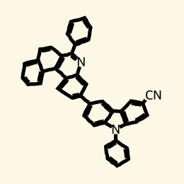 N#Cc1ccc2c(c1)c1cc(-c3ccc4c(c3)nc(-c3ccccc3)c3ccc5ccccc5c34)ccc1n2-c1ccccc1